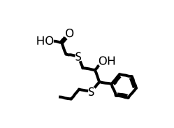 CCCSC(c1ccccc1)C(O)CSCC(=O)O